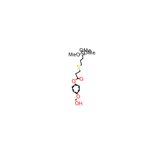 CO[Si](CCCSCCC(=O)Oc1ccc(OCO)cc1)(OC)OC